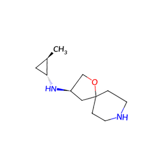 C[C@@H]1C[C@H]1N[C@H]1COC2(CCNCC2)C1